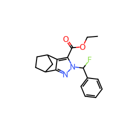 CCOC(=O)c1c2c(nn1C(F)c1ccccc1)C1CCC2C1